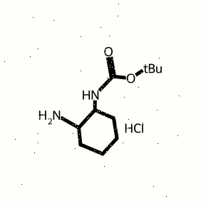 CC(C)(C)OC(=O)NC1CCCCC1N.Cl